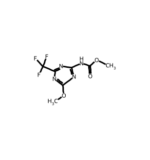 COC(=O)Nc1nc(OC)nc(C(F)(F)F)n1